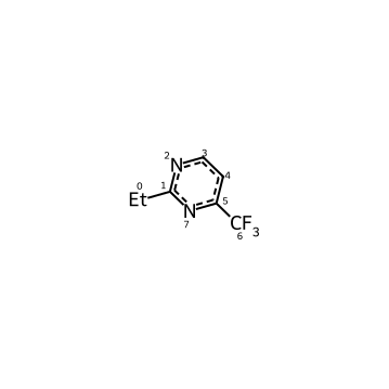 CCc1nccc(C(F)(F)F)n1